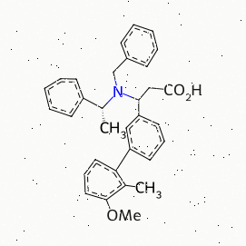 COc1cccc(-c2cccc(C(CC(=O)O)N(Cc3ccccc3)[C@H](C)c3ccccc3)c2)c1C